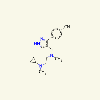 CN(CCN(C)C1CC1)Cc1c[nH]nc1-c1ccc(C#N)cc1